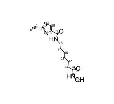 C#Cc1nc(C(=O)NCCCCCCC(=O)NO)cs1